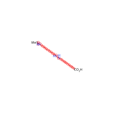 CSC1CC(=O)N(CCC(=O)NCCOCCOCCOCCOCCOCCOCCOCCOCCOCCOCCOCCOCCC(=O)NCCOCCC(=O)NCCOCCOCCOCCOCCOCCOCCOCCOCCOCCOCCOCCOCCC(=O)O)C1=O